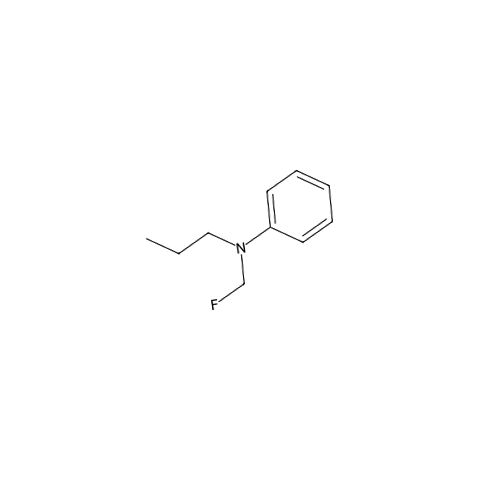 CCCN(CF)c1ccccc1